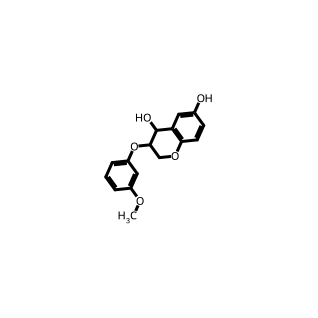 COc1cccc(OC2COc3ccc(O)cc3C2O)c1